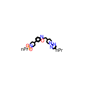 CCCc1cnc(N2CCC(Cc3nc4ccc(C5CCN(S(=O)(=O)CCC)CC5)cc4o3)CC2)nc1